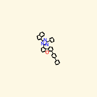 c1ccc(-c2ccc(-c3cccc4c3oc3cccc(-c5nc(-c6ccccc6)nc(-c6cccc7ccccc67)n5)c34)cc2)cc1